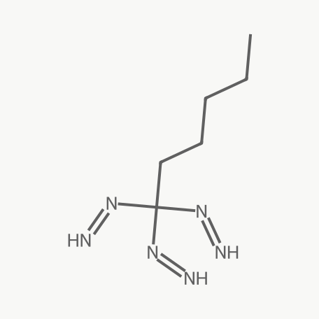 CCCCCC(N=N)(N=N)N=N